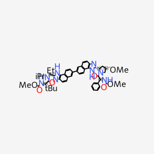 CC[C@@H](c1nc2ccc3cc(-c4ccc5c(ccc6nc([C@@H]7C[C@H](COC)CN7C(=O)[C@H](NC(=O)OC)c7ccccc7)[nH]c65)c4)ccc3c2[nH]1)N(C(=O)[C@@H](NC(=O)OC)C(C)(C)C)C(C)C